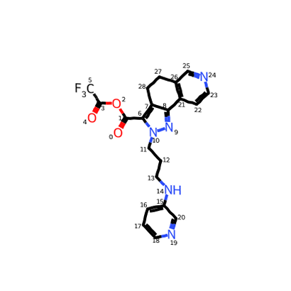 O=C(OC(=O)C(F)(F)F)c1c2c(nn1CCCNc1cccnc1)-c1ccncc1CC2